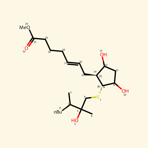 CCCCC(C)C(C)(O)CS[C@H]1C(O)CC(O)[C@@H]1CC=CCCCC(=O)OC